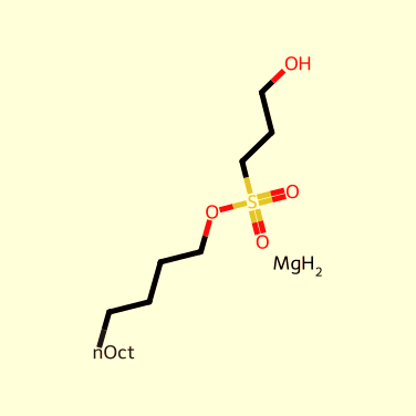 CCCCCCCCCCCCOS(=O)(=O)CCCO.[MgH2]